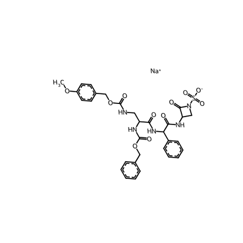 COc1ccc(COC(=O)NCC(NC(=O)OCc2ccccc2)C(=O)NC(C(=O)NC2CN(S(=O)(=O)[O-])C2=O)c2ccccc2)cc1.[Na+]